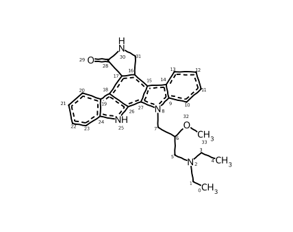 CCN(CC)CC(Cn1c2ccccc2c2c3c(c4c5ccccc5[nH]c4c21)C(=O)NC3)OC